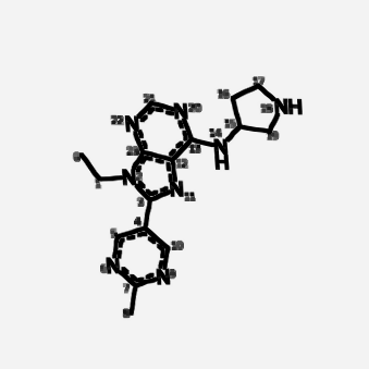 CCn1c(-c2cnc(C)nc2)nc2c(NC3CCNC3)ncnc21